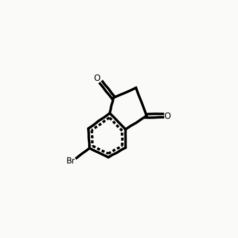 O=C1CC(=O)c2cc(Br)ccc21